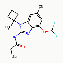 CC(C)(C)CC(=O)Nc1nc2c(OC(F)F)cc(C#N)cc2n1C1(C)CCC1